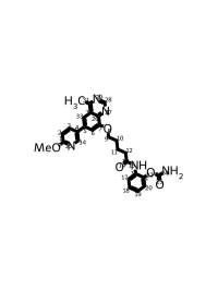 COc1ccc(-c2cc(OCCCCC(=O)Nc3ccccc3OC(N)=O)c3ncnc(C)c3c2)cn1